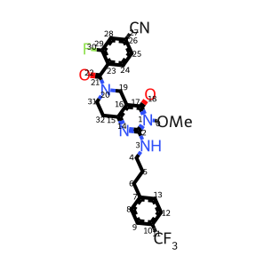 COn1c(NCCCc2ccc(C(F)(F)F)cc2)nc2c(c1=O)CN(C(=O)c1ccc(C#N)cc1F)CC2